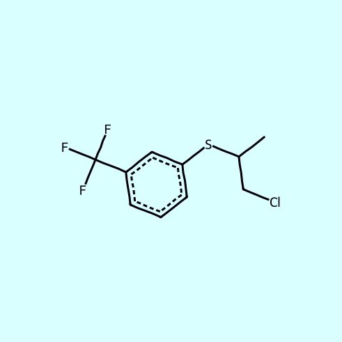 CC(CCl)Sc1cccc(C(F)(F)F)c1